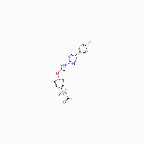 CC(=O)N[C@@H](C)c1ccc(OC2CN(c3ncc(-c4ccc(F)cc4)cn3)C2)cc1